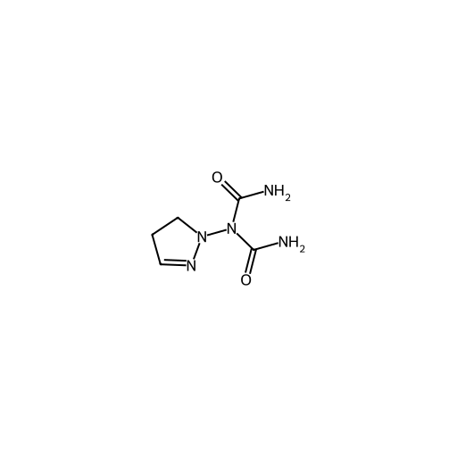 NC(=O)N(C(N)=O)N1CCC=N1